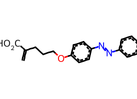 C=C(CCCOc1ccc(N=Nc2ccccc2)cc1)C(=O)O